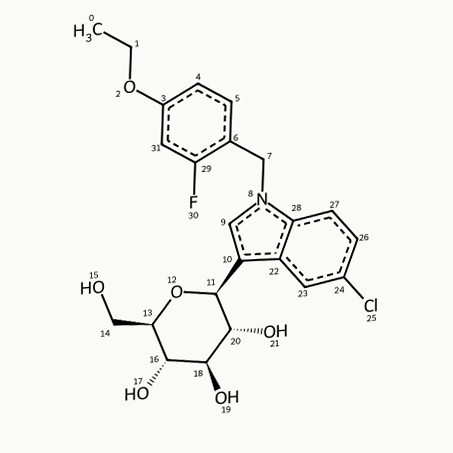 CCOc1ccc(Cn2cc([C@@H]3O[C@H](CO)[C@@H](O)[C@H](O)[C@H]3O)c3cc(Cl)ccc32)c(F)c1